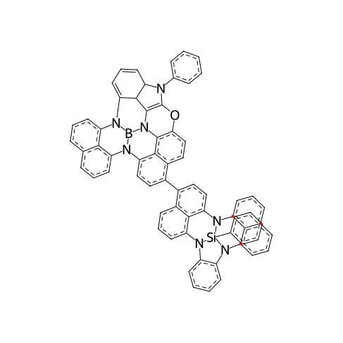 C1=CC2C3C(=C1)N1B4N5C3=C(Oc3ccc6c(-c7ccc8c9c(cccc79)N7c9ccccc9N9c%10cccc%11cccc(c%10%11)N8[Si]97c7ccccc7)ccc(c6c35)N4c3cccc4cccc1c34)N2c1ccccc1